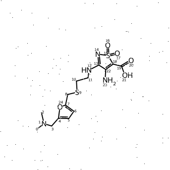 CN(C)Cc1ccc(CSCCNC2=NS(=O)(=O)C(C(=O)O)=C2N)o1